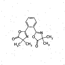 CC1(C)N=C(c2ccccc2C2=NC(C)(C)C(=O)O2)OC1=O